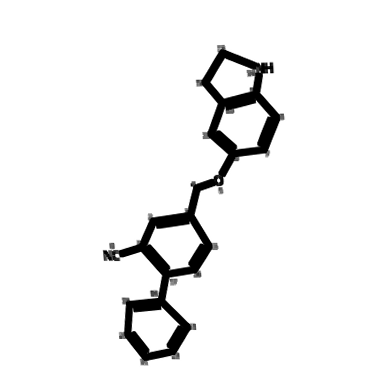 N#Cc1cc(COc2ccc3c(c2)CCN3)ccc1-c1ccccc1